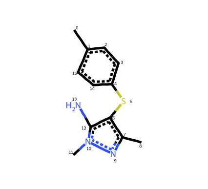 Cc1ccc(Sc2c(C)nn(C)c2N)cc1